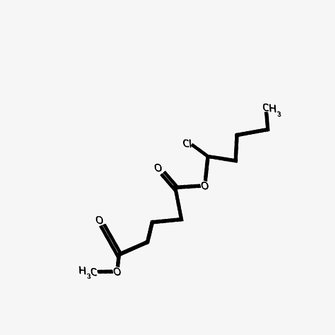 CCCCC(Cl)OC(=O)CCCC(=O)OC